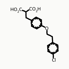 O=C(O)C(Cc1ccc(OCCc2ccc(Cl)cc2)cc1)C(=O)O